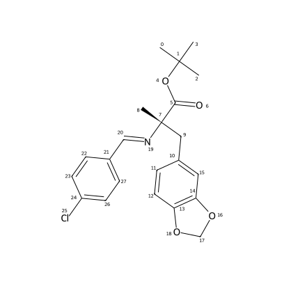 CC(C)(C)OC(=O)[C@](C)(Cc1ccc2c(c1)OCO2)/N=C/c1ccc(Cl)cc1